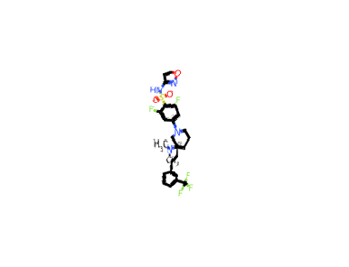 CN(C)[C@@]1(CCc2cccc(C(F)(F)F)c2)CCCN(c2cc(F)c(S(=O)(=O)Nc3ccon3)c(F)c2)C1